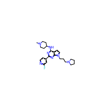 CN1CCC(Nc2nc(-c3ccnc(F)c3)nc3c2ccn3CCCN2CCCC2)CC1